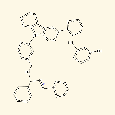 N#Cc1cccc(Nc2ccccc2-c2ccc3c(c2)c2ccccc2n3-c2cccc(CNC(/N=C/c3ccccc3)c3ccccc3)c2)c1